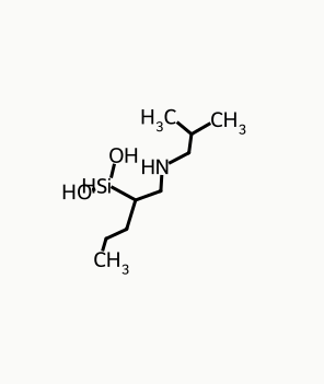 CCCC(CNCC(C)C)[SiH](O)O